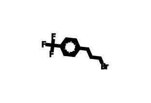 FC(F)(F)c1ccc(CCCBr)cc1